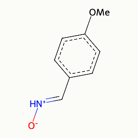 COc1ccc(C=[NH+][O-])cc1